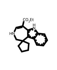 CCOC(=O)C1=CNCC2(CCCC2)c2c1[nH]c1ccccc21